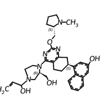 C=CC(O)N1CCN(c2nc(OC[C@@H]3CCCN3C)nc3c2CC[C@H](c2cc(O)cc4ccccc24)C3)[C@@H](CO)C1